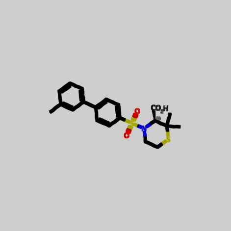 Cc1cccc(-c2ccc(S(=O)(=O)N3CCSC(C)(C)[C@@H]3C(=O)O)cc2)c1